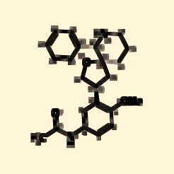 COc1ccc(NC(=O)C(F)(F)F)cc1[C@H]1CO[C@]2(CCCN[C@H]2c2ccccc2)C1